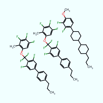 CCCC1CCC(C2CCC(c3ccc(OC)c(F)c3F)CC2)CC1.CCCc1ccc(-c2cc(F)c(C(F)(F)Oc3cc(F)c(F)c(F)c3C)c(F)c2)cc1.CCCc1ccc(-c2cc(F)c(C(F)(F)Oc3cc(F)c(F)c(F)c3C)c(F)c2)cc1